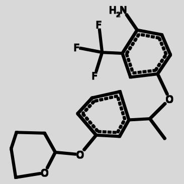 CC(Oc1ccc(N)c(C(F)(F)F)c1)c1cccc(OC2CCCCO2)c1